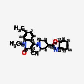 Cc1ccc2c(N3CCC(c4nc5ccccc5o4)CC3)c(C#N)c(=O)n(C)c2c1